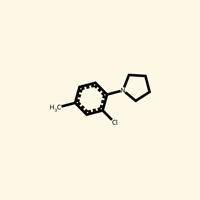 Cc1ccc(N2CCCC2)c(Cl)c1